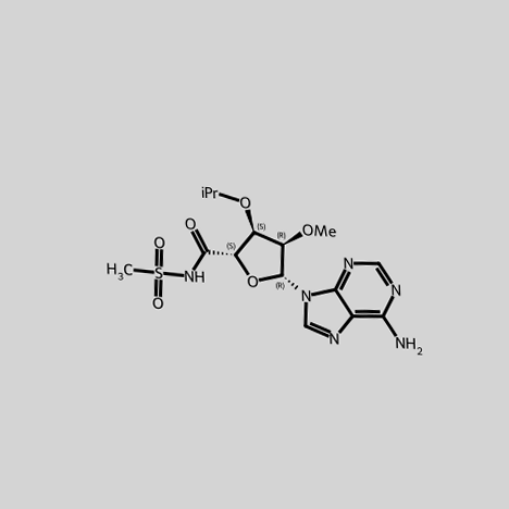 CO[C@@H]1[C@H](OC(C)C)[C@@H](C(=O)NS(C)(=O)=O)O[C@H]1n1cnc2c(N)ncnc21